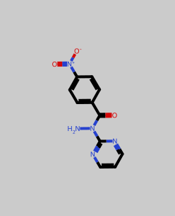 NN(C(=O)c1ccc([N+](=O)[O-])cc1)c1ncccn1